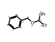 C[CH]C(CCC)OCc1ccccc1